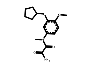 COc1ccc(N(C)C(=O)C(N)=O)cc1OC1CCCC1